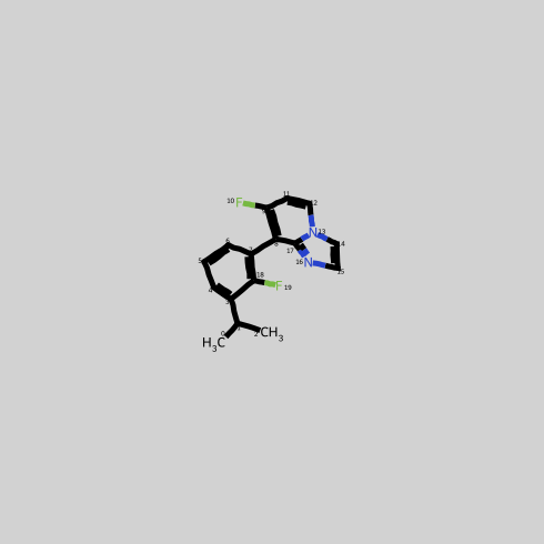 CC(C)c1cccc(-c2c(F)ccn3ccnc23)c1F